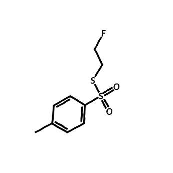 Cc1ccc(S(=O)(=O)SCCF)cc1